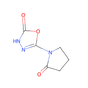 O=C1CCCN1c1n[nH]c(=O)o1